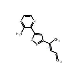 C=C/C=C(\C)c1cc(-c2nccnc2N)on1